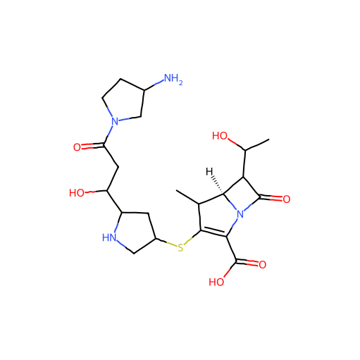 CC(O)C1C(=O)N2C(C(=O)O)=C(SC3CNC(C(O)CC(=O)N4CCC(N)C4)C3)C(C)[C@@H]12